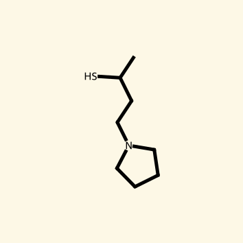 CC(S)CCN1CCCC1